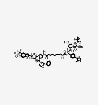 Cc1ncsc1-c1ccc([C@H](CC(=O)NCCCCCCCC(=O)N[C@H]2C[C@@H](C(=O)N3CCO[C@H](c4ccccc4)C3)N(C(=O)[C@@H](NC(=O)c3cc4cc(C(F)(F)P(=O)(O)O)ccc4s3)C(C)(C)C)C2)NC(=O)[C@@H]2C[C@@H](O)CN2C(=O)[C@@H](NC(=O)C2(F)CC2)C(C)(C)C)cc1